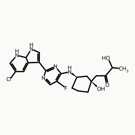 CC(O)C(=O)C[C@]1(O)CCC[C@@H](Nc2nc(C3=CNC4NC=C(Cl)C=C34)ncc2F)C1